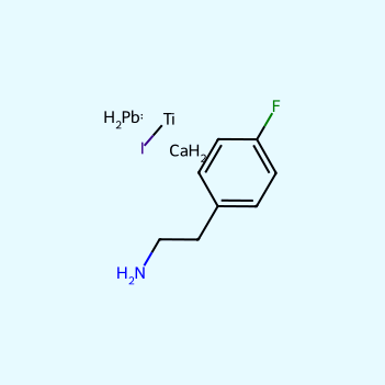 NCCc1ccc(F)cc1.[CaH2].[PbH2].[Ti][I]